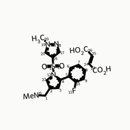 CNCc1cc(-c2ccccc2F)n(S(=O)(=O)c2cnn(C)c2)c1.O=C(O)C=CC(=O)O